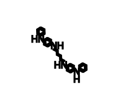 c1ccc(Nc2ccc(NCCCCCCNc3ccc(Nc4ccccc4)cc3)cc2)cc1